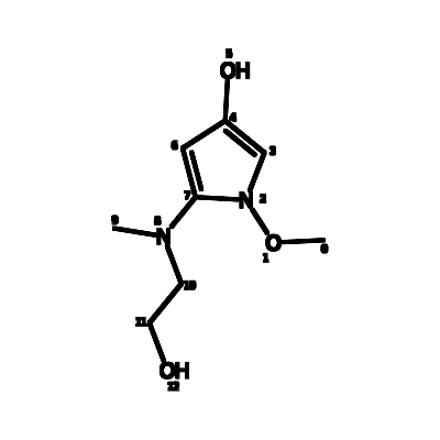 COn1cc(O)cc1N(C)CCO